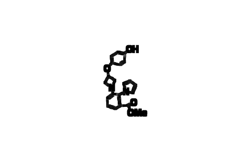 COC(=O)c1cccc(N2CC(Oc3ccc(O)cc3)C2)c1-n1cccc1